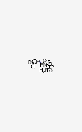 COc1ccc(/C=C/C(=O)Nc2scc(C)c2C(N)=O)cc1OC